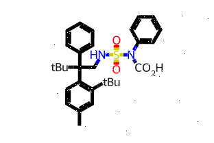 Cc1ccc(C(CNS(=O)(=O)N(C(=O)O)c2ccccc2)(c2ccccc2)C(C)(C)C)c(C(C)(C)C)c1